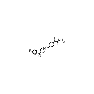 NC(=O)NC1CCC(CCN2CCC(C(=O)c3ccc(F)cc3)CC2)CC1